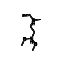 C=C[SiH](C)CC[SiH](OC)OC